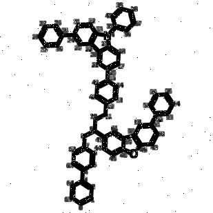 c1ccc(-c2ccc(CC(CCc3ccc(-c4ccc5c(c4)c4cc(-c6ccccc6)ccc4n5-c4ccccc4)cc3)c3ccc4oc5ccc(-c6ccccc6)cc5c4c3)cc2)cc1